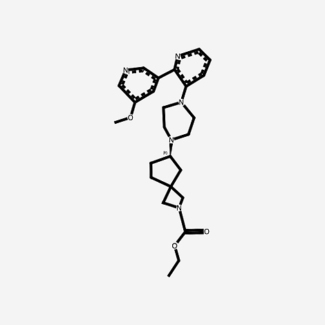 CCOC(=O)N1CC2(CC[C@@H](N3CCN(c4cccnc4-c4cncc(OC)c4)CC3)C2)C1